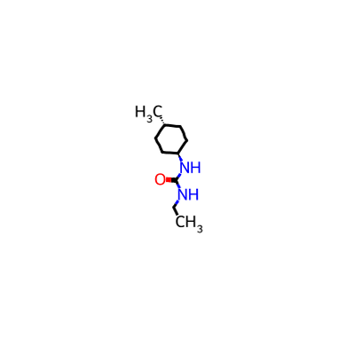 CCNC(=O)N[C@H]1CC[C@H](C)CC1